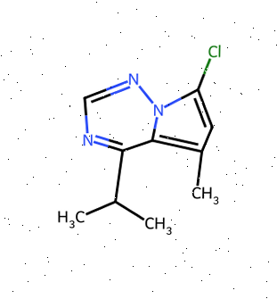 Cc1cc(Cl)n2ncnc(C(C)C)c12